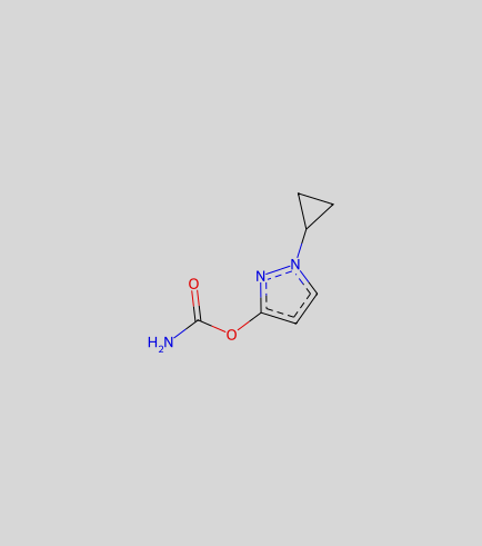 NC(=O)Oc1ccn(C2CC2)n1